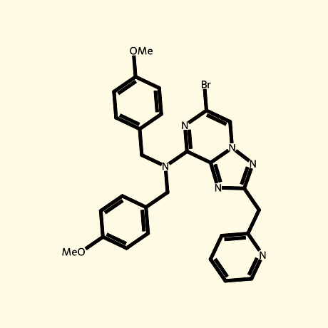 COc1ccc(CN(Cc2ccc(OC)cc2)c2nc(Br)cn3nc(Cc4ccccn4)nc23)cc1